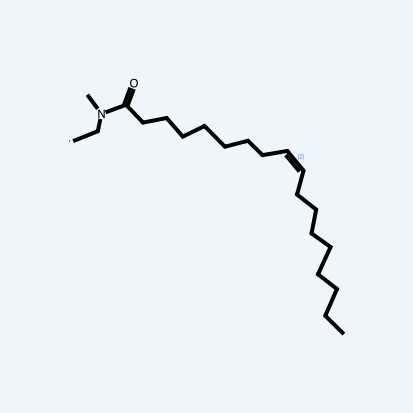 [CH2]CN(C)C(=O)CCCCCCC/C=C\CCCCCCCC